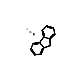 [B].[B].[N].c1ccc2c(c1)Cc1ccccc1-2